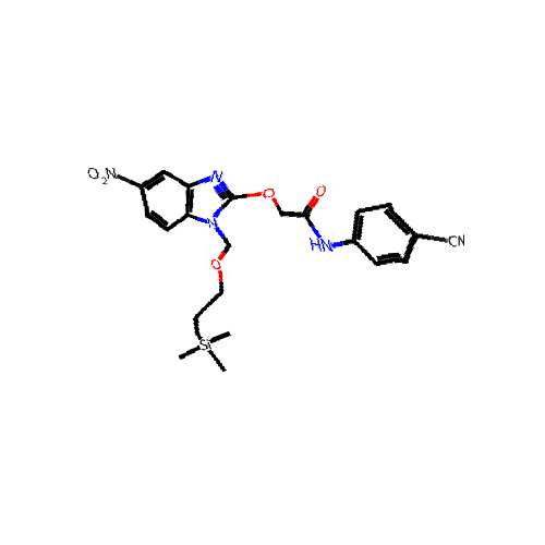 C[Si](C)(C)CCOCn1c(OCC(=O)Nc2ccc(C#N)cc2)nc2cc([N+](=O)[O-])ccc21